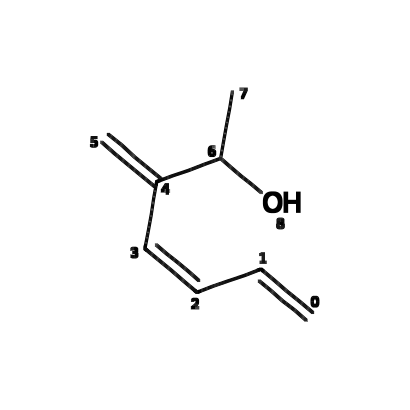 C=C/C=C\C(=C)C(C)O